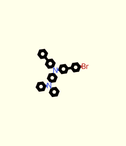 Brc1ccc(-c2ccc(N(c3ccc(-c4ccccc4)cc3)c3ccc(N(c4ccccc4)c4ccccc4)cc3)cc2)cc1